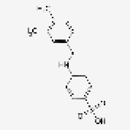 Cc1ccc(CNc2ccc(S(=O)(=O)O)cc2)cc1C